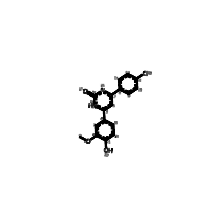 COc1cc(-c2cc(-c3ccc(Cl)cc3)nc(=O)[nH]2)ccc1O